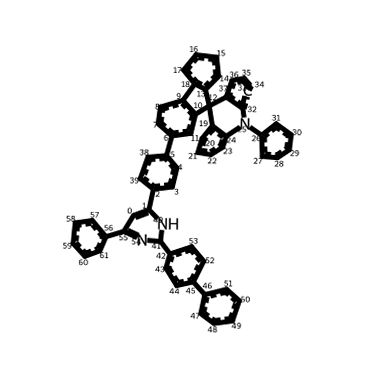 C1=C(c2ccc(-c3ccc4c(c3)C3(c5ccccc5-4)c4ccccc4N(c4ccccc4)c4ccccc43)cc2)NC(c2ccc(-c3ccccc3)cc2)N=C1c1ccccc1